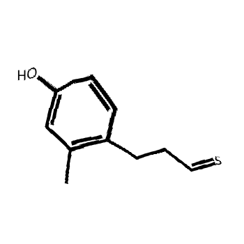 Cc1cc(O)ccc1CCC=S